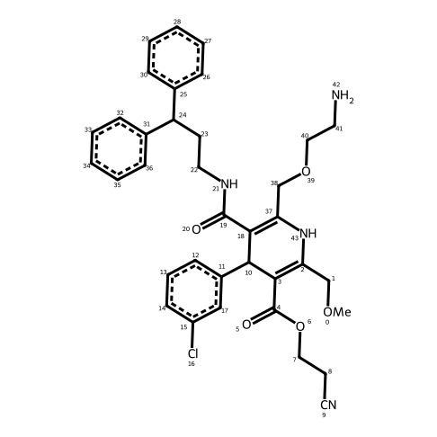 COCC1=C(C(=O)OCCC#N)C(c2cccc(Cl)c2)C(C(=O)NCCC(c2ccccc2)c2ccccc2)=C(COCCN)N1